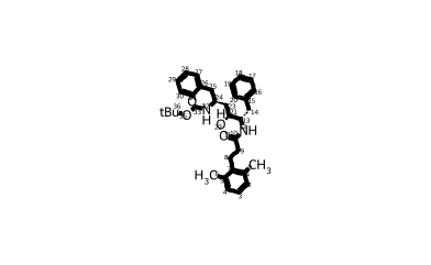 Cc1cccc(C)c1CCC(=O)N[C@@H](Cc1ccccc1)[C@@H](O)C[C@H](Cc1ccccc1)NC(=O)OC(C)(C)C